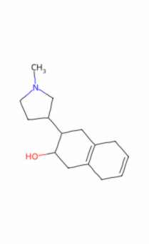 CN1CCC(C2CC3=C(CC=CC3)CC2O)C1